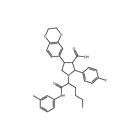 CCCCC(C(=O)Nc1cccc(C)c1)N1CC(c2ccc3c(c2)OCCO3)C(C(=O)O)C1c1ccc(F)cc1